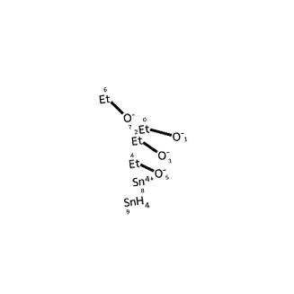 CC[O-].CC[O-].CC[O-].CC[O-].[Sn+4].[SnH4]